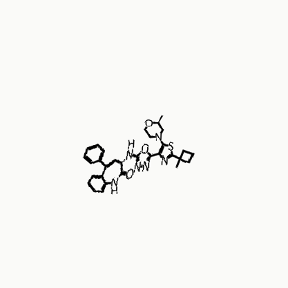 C[C@H]1CN(c2sc(C3(C)CCC3)nc2-c2nnc(N[C@H]3C=C(c4ccccc4)c4ccccc4NC3=O)o2)CCO1